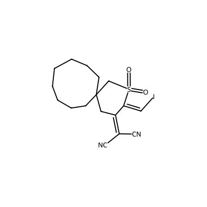 N#CC(C#N)=C1CC2(CCCCCCCC2)CS(=O)(=O)/C1=C\I